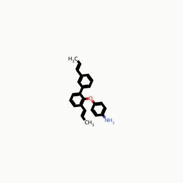 CC=Cc1cccc(-c2cccc(C=CC)c2Oc2ccc(N)cc2)c1